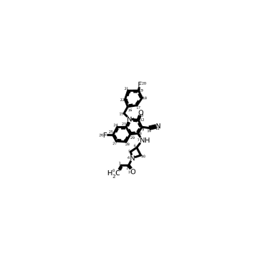 C=CC(=O)N1CC(Nc2c(C#N)c(=O)n(Cc3ccc(F)cc3)c3cc(F)ccc23)C1